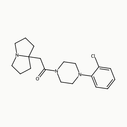 O=C(CC12CCCN1CCC2)N1CCN(c2ccccc2Cl)CC1